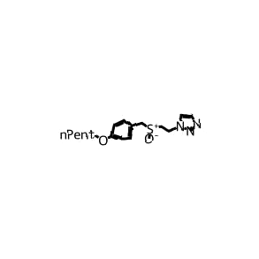 CCCCCOc1ccc(C[S+]([O-])CCn2ccnn2)cc1